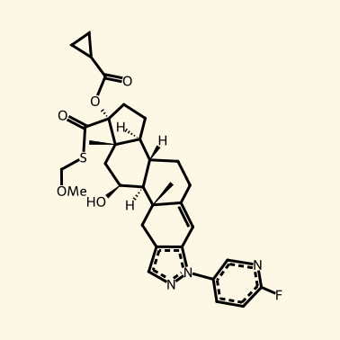 COCSC(=O)[C@@]1(OC(=O)C2CC2)CC[C@H]2[C@@H]3CCC4=Cc5c(cnn5-c5ccc(F)nc5)C[C@]4(C)[C@H]3[C@@H](O)C[C@@]21C